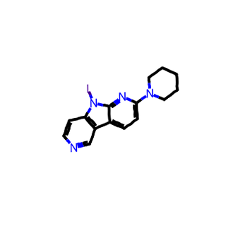 In1c2ccncc2c2ccc(N3CCCCC3)nc21